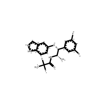 C[C@H](NC(=O)C(C)(F)F)[C@H](Oc1ccc2[nH]ncc2c1)c1cc(F)cc(F)c1